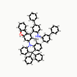 B1c2cccc3c2N(c2ccccc2C3(c2ccccc2)c2ccccc2)c2cc3oc4ccccc4c3c(-c3cc(-c4ccccc4)ccc3Nc3cccc(-c4ccccc4)c3)c21